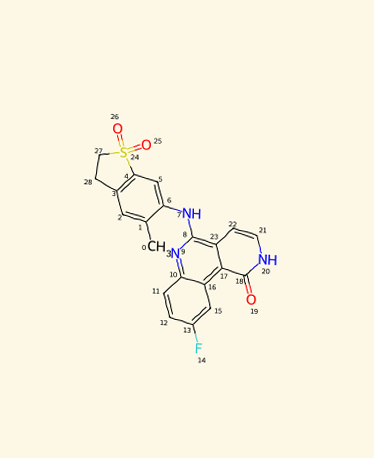 Cc1cc2c(cc1Nc1nc3ccc(F)cc3c3c(=O)[nH]ccc13)S(=O)(=O)CC2